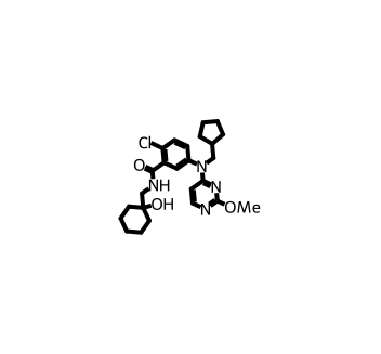 COc1nccc(N(CC2CCCC2)c2ccc(Cl)c(C(=O)NCC3(O)CCCCC3)c2)n1